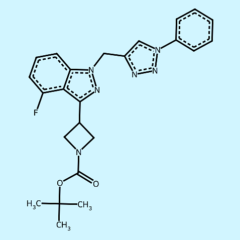 CC(C)(C)OC(=O)N1CC(c2nn(Cc3cn(-c4ccccc4)nn3)c3cccc(F)c23)C1